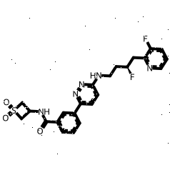 O=C(NC1CS(=O)(=O)C1)c1cccc(-c2ccc(NCC[C@H](F)Cc3ncccc3F)nn2)c1